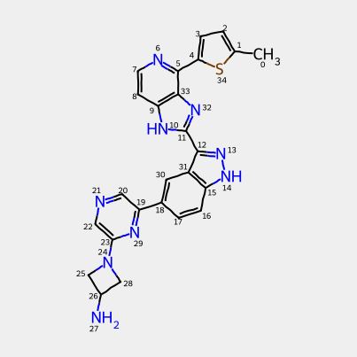 Cc1ccc(-c2nccc3[nH]c(-c4n[nH]c5ccc(-c6cncc(N7CC(N)C7)n6)cc45)nc23)s1